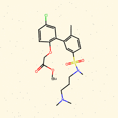 Cc1ccc(S(=O)(=O)N(C)CCCN(C)C)cc1-c1cc(Cl)ccc1OCC(=O)OC(C)(C)C